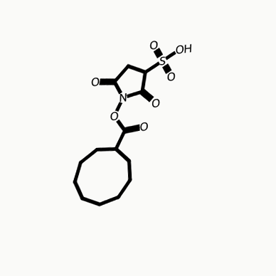 O=C(ON1C(=O)CC(S(=O)(=O)O)C1=O)C1CCCCCCCC1